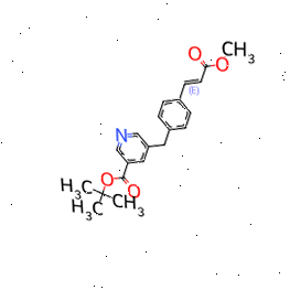 COC(=O)/C=C/c1ccc(Cc2cncc(C(=O)OC(C)(C)C)c2)cc1